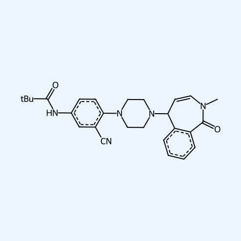 CN1C=CC(N2CCN(c3ccc(NC(=O)C(C)(C)C)cc3C#N)CC2)c2ccccc2C1=O